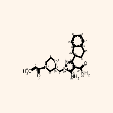 C=CC(=O)N1CCO[C@@H](Cn2nc(C3CCc4ccccc4C3)c(C(N)=O)c2N)C1